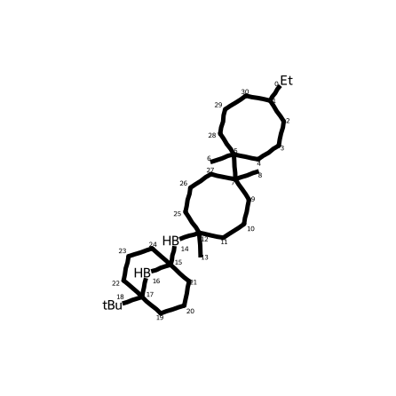 CCC1CCCC(C)(C2(C)CCCC(C)(BC34BC(C(C)(C)C)(CCC3)CCC4)CCC2)CCC1